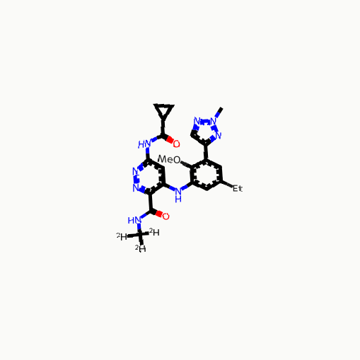 [2H]C([2H])([2H])NC(=O)c1nnc(NC(=O)C2CC2)cc1Nc1cc(CC)cc(-c2cnn(C)n2)c1OC